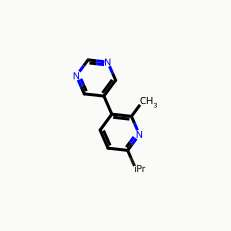 Cc1nc(C(C)C)ccc1-c1cncnc1